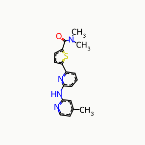 Cc1ccnc(Nc2cccc(-c3ccc(C(=O)N(C)C)s3)n2)c1